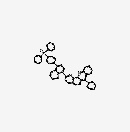 O=P(c1ccccc1)(c1ccccc1)c1ccc(-c2ccc(-c3ccc4ccc5c(-c6ccccc6)c6ccccc6nc5c4n3)c3ccccc23)cc1